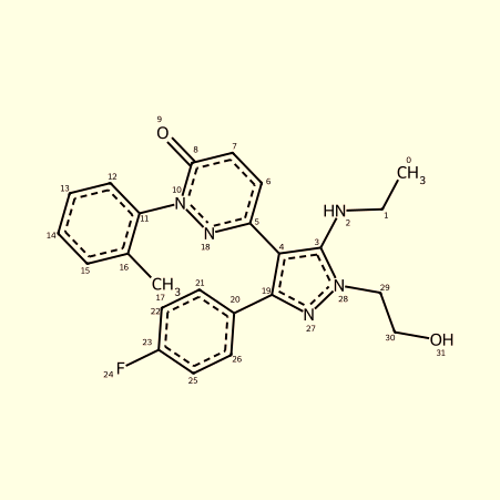 CCNc1c(-c2ccc(=O)n(-c3ccccc3C)n2)c(-c2ccc(F)cc2)nn1CCO